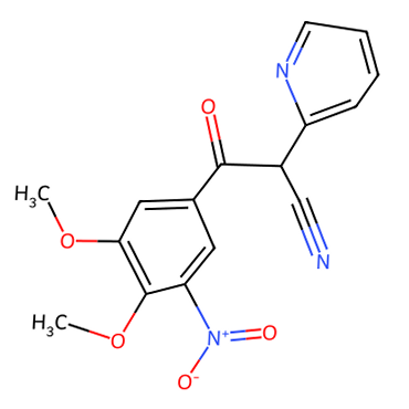 COc1cc(C(=O)C(C#N)c2ccccn2)cc([N+](=O)[O-])c1OC